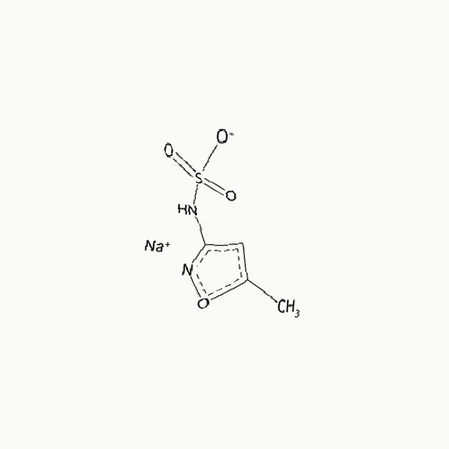 Cc1cc(NS(=O)(=O)[O-])no1.[Na+]